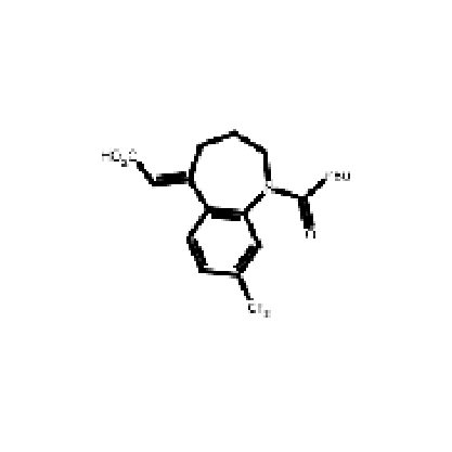 CCCCC(=O)N1CCCC(=CC(=O)O)c2ccc(C(F)(F)F)cc21